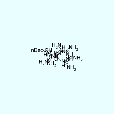 CCCCCCCCCCCC[C@@H](O)CC(=O)NCC(=O)N[C@@H](CCCN=C(N)N)C(=O)N[C@@H]1CCCCNC(=O)[C@H](CCCCN)NC(=O)[C@@H](CCCCN)NC(=O)[C@@H](CCCCN)NC(=O)[C@H](CCCCN)NC1=O